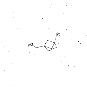 CC(C)C12CCC(CO)(C1)C2